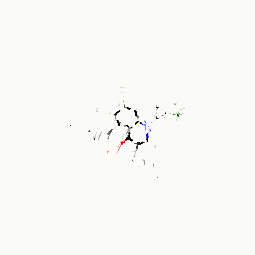 CC(=O)Nc1c(F)c(F)c(C)c2c1c(=O)c(C(=O)O)cn2C1CC1F